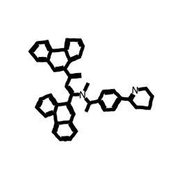 C=C(/C=C(/c1cc2ccccc2c2ccccc12)N(C)C(C)c1ccc(C2=NCCCC2)cc1)c1cc2ccccc2c2ccccc12